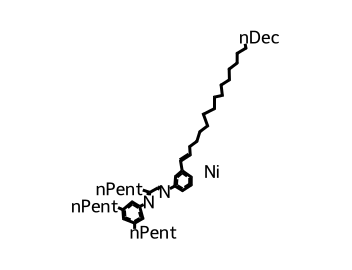 CCCCCCCCCCCCCCCCCCCCCCCCC=Cc1cccc(N=CC(CCCCC)=Nc2cc(CCCCC)cc(CCCCC)c2)c1.[Ni]